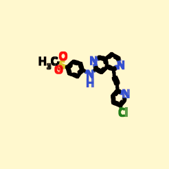 CS(=O)(=O)c1ccc(Nc2cc3c(C#Cc4ccc(Cl)cn4)nccc3cn2)cc1